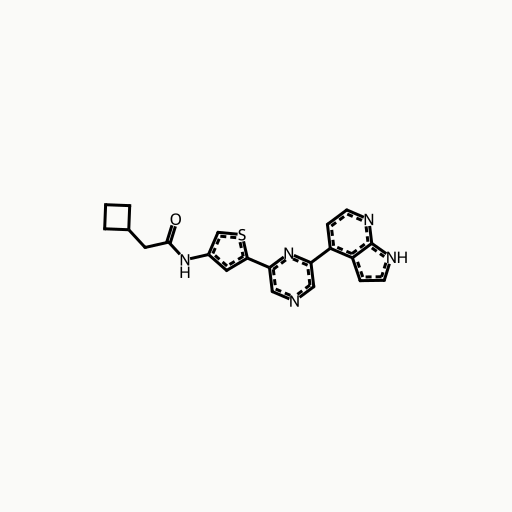 O=C(CC1CCC1)Nc1csc(-c2cncc(-c3ccnc4[nH]ccc34)n2)c1